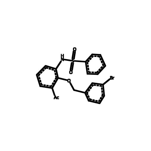 CC(=O)c1cccc(NS(=O)(=O)c2ccccc2)c1OCc1cccc(Br)c1